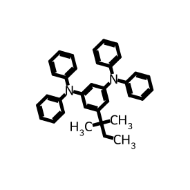 CCC(C)(C)c1cc(N(c2ccccc2)c2ccccc2)cc(N(c2ccccc2)c2ccccc2)c1